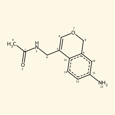 CC(=O)NCC1=COCc2cc(N)ccc21